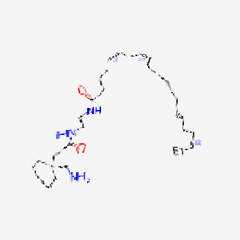 CC/C=C\CC=CCC=CC/C=C\C/C=C\CCCC(=O)NCCNC(=O)CC1(CN)CCCCC1